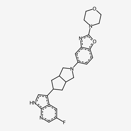 Fc1cnc2[nH]cc(C3CC4CN(c5ccc6oc(N7CCOCC7)nc6c5)CC4C3)c2c1